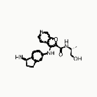 C[C@H](CO)NC(=O)c1oc2cnccc2c1Nc1ccc2c(c1)CCC2=N